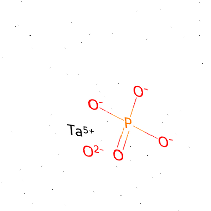 O=P([O-])([O-])[O-].[O-2].[Ta+5]